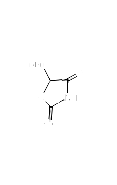 CCCCC1OC(=O)NC1=O